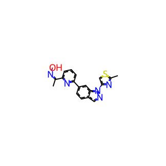 C/C(=N/O)c1cccc(-c2ccc3cnn(-c4csc(C)n4)c3c2)n1